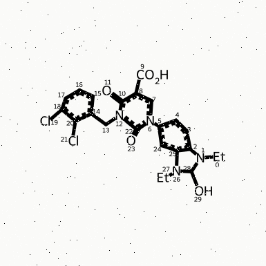 CCN1c2ccc(-n3cc(C(=O)O)c(=O)n(Cc4cccc(Cl)c4Cl)c3=O)cc2N(CC)C1O